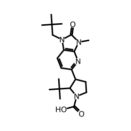 Cn1c(=O)n(CC(C)(C)C)c2ccc(C3CCN(C(=O)O)C3C(C)(C)C)nc21